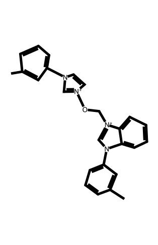 Cc1cccc(-n2cc[n+](OC[n+]3cn(-c4cccc(C)c4)c4ccccc43)c2)c1